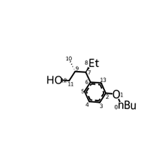 CCCCOc1cccc([C@H](CC)[C@@H](C)CO)c1